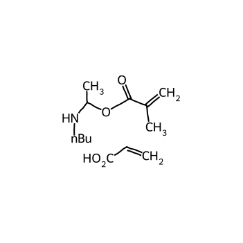 C=C(C)C(=O)OC(C)NCCCC.C=CC(=O)O